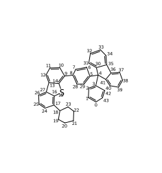 c1ccc(C2(c3ccc(-c4cccc5c4sc4c(C6CCCCC6)cccc45)cc3)c3ccccc3-c3ccccc32)cc1